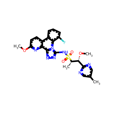 COc1ccc2c3cccc(F)c3n3c(NS(=O)(=O)[C@@H](C)[C@H](OC)c4ncc(C)cn4)nnc3c2n1